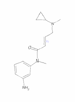 CN(C(=O)/C=C/CN(C)C1CC1)c1cccc(N)c1